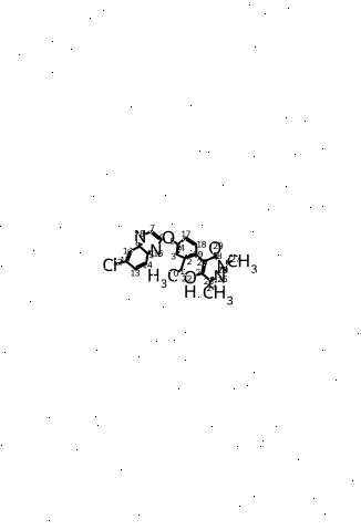 CCc1cc(Oc2cnc3cc(Cl)ccc3n2)ccc1-c1c(O)c(C)nn(C)c1=O